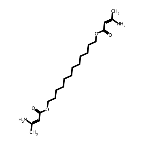 CC(N)=CC(=O)OCCCCCCCCCCCCOC(=O)C=C(C)N